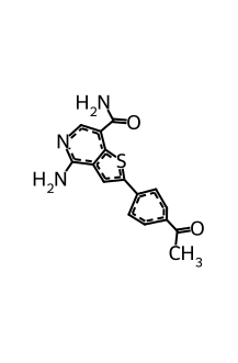 CC(=O)c1ccc(-c2cc3c(N)ncc(C(N)=O)c3s2)cc1